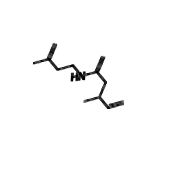 C=CC(C)CC(=C)NCCC(=C)C